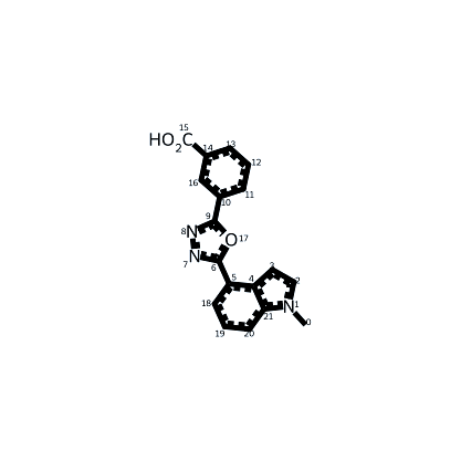 Cn1ccc2c(-c3nnc(-c4cccc(C(=O)O)c4)o3)cccc21